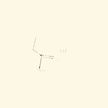 O=C(O)CS.[KH].[KH]